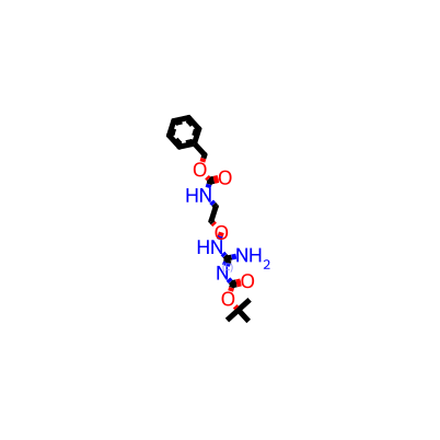 CC(C)(C)OC(=O)/N=C(\N)NOCCNC(=O)OCc1ccccc1